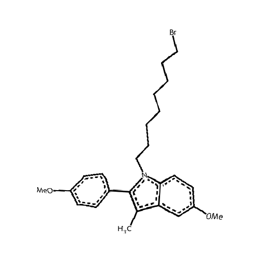 COc1ccc(-c2c(C)c3cc(OC)ccc3n2CCCCCCCCBr)cc1